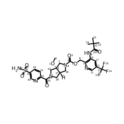 CO[C@]12CN(C(=O)OCc3ncc(C(F)(F)F)cc3NC(=O)C(C)(C)C)C[C@@H]1CN(C(=O)c1ccc(S(N)(=O)=O)cn1)C2